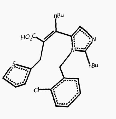 CCCCC(=C(Cc1cccs1)C(=O)O)c1cnc(CCCC)n1Cc1ccccc1Cl